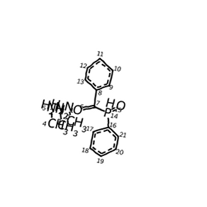 CN.CN.CN.O=C(c1ccccc1)[PH](=O)c1ccccc1